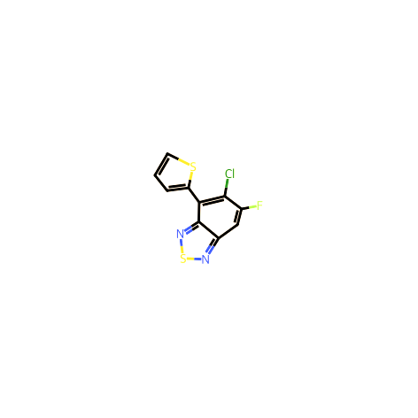 Fc1cc2nsnc2c(-c2cccs2)c1Cl